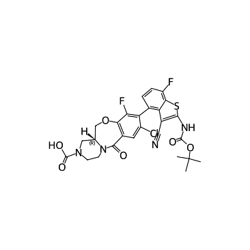 CC(C)(C)OC(=O)Nc1sc2c(F)ccc(-c3c(Cl)cc4c(c3F)OC[C@H]3CN(C(=O)O)CCN3C4=O)c2c1C#N